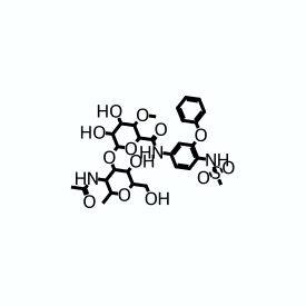 COC1C(C(=O)Nc2ccc(NS(C)(=O)=O)c(Oc3ccccc3)c2)OC(OC2C(O)C(CO)OC(C)C2NC(C)=O)C(O)C1O